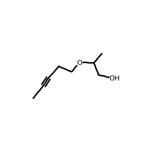 CC#CCCOC(C)CO